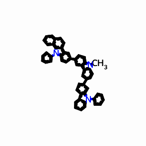 Cn1c2ccc(-c3ccc4c(c3)c3ccc5ccccc5c3n4-c3ccccc3)cc2c2cc(-c3ccc4c5ccccc5n(-c5ccccc5)c4c3)ccc21